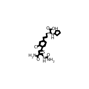 NC(=O)Nc1sc(-c2ccc(C=CC[C@H](NC3CCCC3)C(=O)O)cc2Cl)cc1C(N)=O